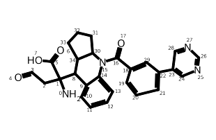 NC(CC=O)(C(=O)O)C1c2ccccc2N(C(=O)c2cccc(-c3cncnc3)c2)C2CCCC21